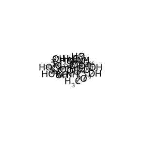 CC(=O)NC1C(C)OC(CO)C(OC(OC(CO)[C@H](C)OC(O)[C@H](O)CO[C@H]2O[C@H](CO)C(O)C(O)C2O)[C@H](CO)NC(C)=O)C1O